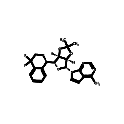 Cc1ncnc2c1ccn2[C@@H]1O[C@H]([C@@H]2OCC(F)(F)c3ccccc32)[C@H]2OC(C)(C)O[C@H]21